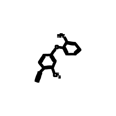 C#Cc1ccc(Oc2ccccc2CCC)cc1C(F)(F)F